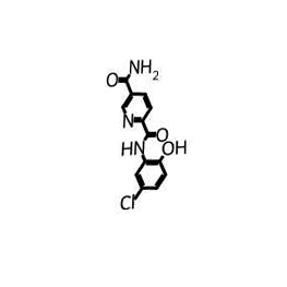 NC(=O)c1ccc(C(=O)Nc2cc(Cl)ccc2O)nc1